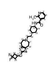 Cc1ncccc1C(=O)N[C@H]1CC[C@H](CCN2CCc3nc(OC4CC(F)(F)C4)sc3CC2)CC1